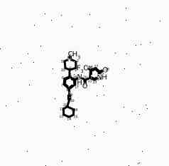 CN1CCC(c2ccc(C#CC3CCCCC3)cc2NC(=O)c2c[nH]c(=O)cc2C(F)(F)F)CC1